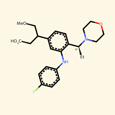 CC[C@@H](c1ccc(C(COC)CC(=O)O)cc1Nc1ccc(F)cc1)N1CCOCC1